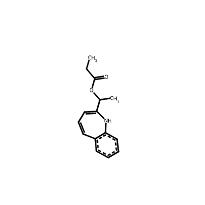 CCC(=O)OC(C)C1=CC=Cc2ccccc2N1